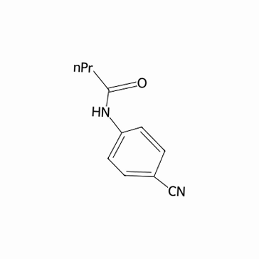 CCCC(=O)Nc1ccc(C#N)cc1